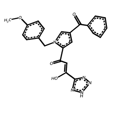 COc1ccc(Cn2cc(C(=O)c3ccccc3)cc2C(=O)C=C(O)c2nn[nH]n2)cc1